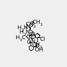 COC/C(=C(/N)COc1ccc(Cl)c2c1C(N1CC(C)CC1=O)N(C(=O)C1CCCC[C@]1(C)C(=O)O)CC2)N(C)N